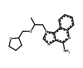 CC(Cn1cnc2c(N)nc3ccccc3c21)OCC1CCCO1